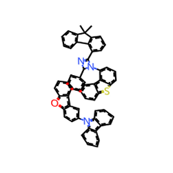 CC1(C)c2ccccc2-c2c(C3=NC(c4ccccc4)N3c3cccc4sc5ccc(-c6cccc7oc8ccc(-n9c%10ccccc%10c%10ccccc%109)cc8c67)cc5c34)cccc21